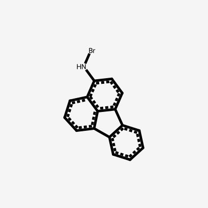 BrNc1ccc2c3c(cccc13)-c1ccccc1-2